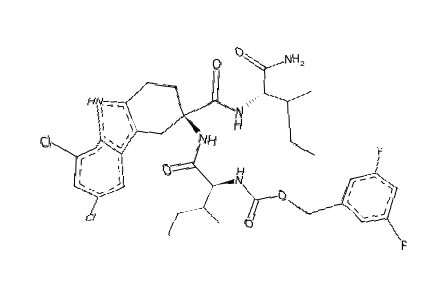 CCC(C)[C@H](NC(=O)[C@@]1(NC(=O)[C@@H](NC(=O)OCc2cc(F)cc(F)c2)C(C)CC)CCc2[nH]c3c(Cl)cc(Cl)cc3c2C1)C(N)=O